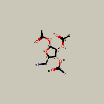 CC(=O)O[C@@H]1O[C@H](CI)[C@@H](OC(C)=O)[C@H]1OC(C)=O